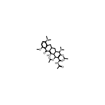 COc1ccc(N(C)C)c2c1C(=O)C1=C(O)C3C(OC(C)=O)C(C(=O)NC(C)=O)=C(OC(C)=O)C(N(C)C)C3CC1C2